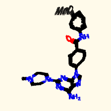 COc1cccc(NC(=O)C2CCC(n3cnc4c(N)nc(N5CCN(C)CC5)nc43)CC2)c1